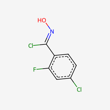 ON=C(Cl)c1ccc(Cl)cc1F